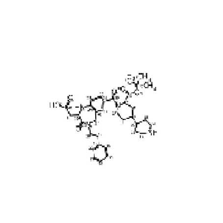 CC(C)(C)OC(=O)C1CC(C2CCNCC2)CCN1C(=O)c1ccc2c(c1)CN(CCc1ccccc1)C(=O)C(CC(=O)O)N2